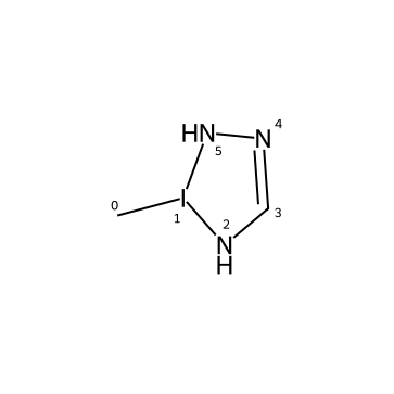 CI1NC=NN1